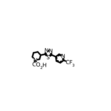 O=C(O)N1CCCC(c2nnc(-c3ccc(C(F)(F)F)nc3)s2)C1